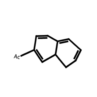 CC(=O)C1=CC2CC=CC=C2C=C1